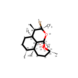 C[C@@H]1CC[C@H]2[C@@H](C)[C@](Br)(C(F)(F)F)O[C@H]3O[C@]4(C)CC[C@@H]1[C@]32OO4